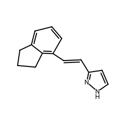 C(=C\c1cccc2c1CCC2)/c1cc[nH]n1